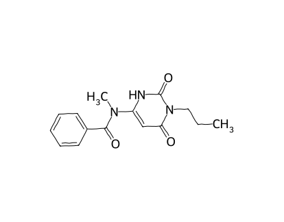 CCCn1c(=O)cc(N(C)C(=O)c2ccccc2)[nH]c1=O